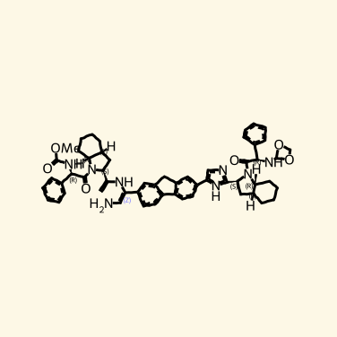 C=C(N/C(=C\N)c1ccc2c(c1)Cc1cc(-c3cnc([C@@H]4C[C@H]5CCCC[C@H]5N4C(=O)[C@H](NC4OCO4)c4ccccc4)[nH]3)ccc1-2)[C@@H]1C[C@H]2CCCC[C@H]2N1C(=O)[C@H](NC(=O)OC)c1ccccc1